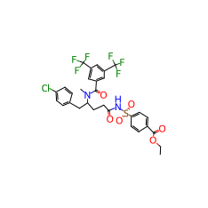 CCOC(=O)c1ccc(S(=O)(=O)NC(=O)CCC(Cc2ccc(Cl)cc2)N(C)C(=O)c2cc(C(F)(F)F)cc(C(F)(F)F)c2)cc1